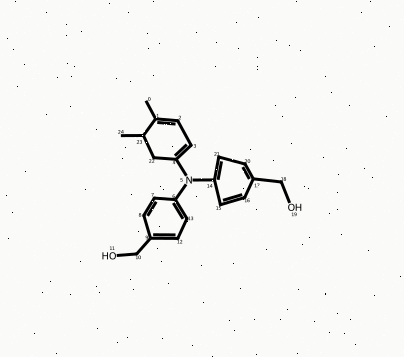 CC1=CC=C(N(c2ccc(CO)cc2)c2ccc(CO)cc2)CC1C